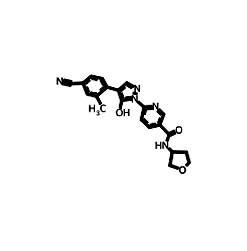 Cc1cc(C#N)ccc1-c1cnn(-c2ccc(C(=O)NC3CCOC3)cn2)c1O